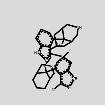 COC1(c2cccc3[nH]nc(C)c23)C2CNCC1CC(CCOC1(c3cc(F)cc4[nH]nc(Cl)c34)C3CCCC1CNC3)C2